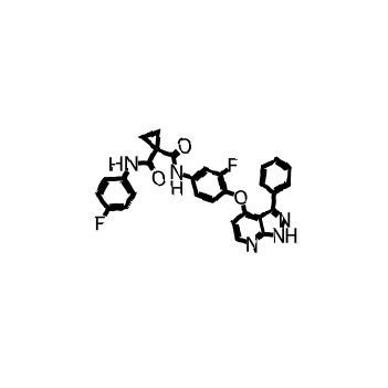 O=C(Nc1ccc(F)cc1)C1(C(=O)Nc2ccc(Oc3ccnc4[nH]nc(-c5ccccc5)c34)c(F)c2)CC1